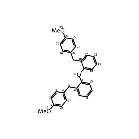 COc1ccc(Cc2ccccc2Oc2ccccc2Cc2ccc(OC)cc2)cc1